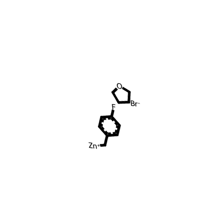 C1CCOC1.Fc1ccc([CH2][Zn+])cc1.[Br-]